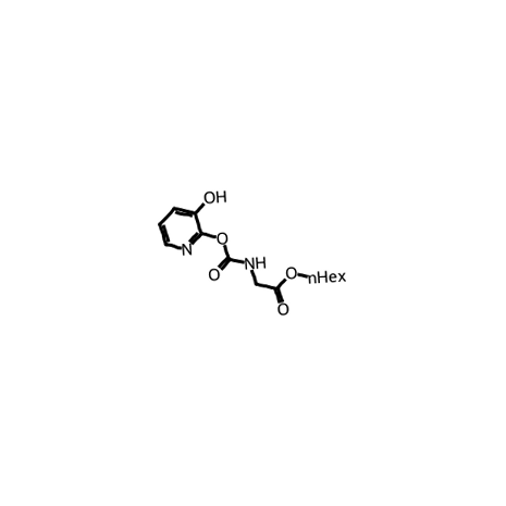 CCCCCCOC(=O)CNC(=O)Oc1ncccc1O